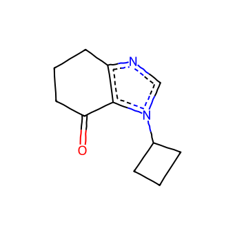 O=C1CCCc2ncn(C3CCC3)c21